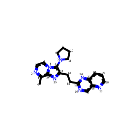 Cc1nccn2c(N3CCCC3)c(CCc3ncc4ncccc4n3)nc12